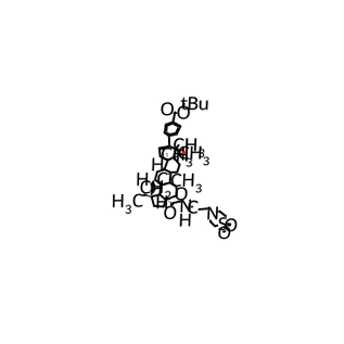 C=C(C)[C@@H]1CC[C@]2(C(=O)C(=O)NCCCN3CCS(=O)(=O)CC3)CC[C@]3(C)[C@H](CC[C@@H]4[C@@]5(C)CC=C(c6ccc(C(=O)OC(C)(C)C)cc6)C(C)(C)[C@@H]5CC[C@]43C)[C@@H]12